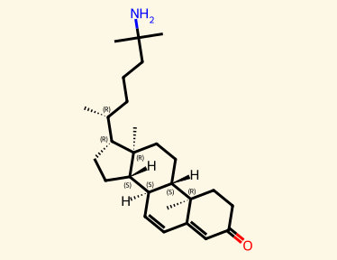 C[C@H](CCCC(C)(C)N)[C@H]1CC[C@H]2[C@@H]3C=CC4=CC(=O)CC[C@]4(C)[C@H]3CC[C@]12C